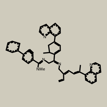 C=C/C(=C\C=C(/C)c1cccc2cccnc12)C/N=C(\C/N=C(\NC)c1c#cc(-c2ccccc2)cc1)C1=CC=C(c2cccc3cccnc23)CC1C